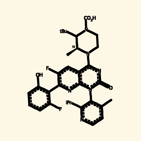 Cc1ccnc(C(C)C)c1-n1c(=O)nc(N2CCN(C(=O)O)C(C(C)(C)C)[C@@H]2C)c2cc(F)c(-c3c(O)cccc3F)nc21